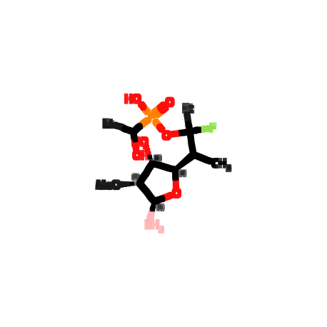 B[C@@H]1O[C@H](C(C)C(F)(CC)OP(=O)(O)C(O)CC)[C@@H](O)[C@H]1OC